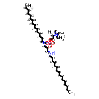 CCCCCCCCCCCCCCCCNCC(CNCCCCCCCCCCCCCCCC)OP(=O)([O-])OCC[N+](C)(C)C